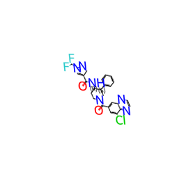 O=C(N[C@@H]1CCN(C(=O)c2cc(Cl)c3nccnc3c2)C[C@@H]1c1ccccc1)c1cnn(C(F)F)c1